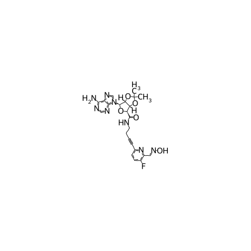 CC1(C)O[C@@H]2[C@H](O1)[C@@H](C(=O)NCCC#Cc1ccc(F)c(C=NO)n1)O[C@H]2n1cnc2c(N)ncnc21